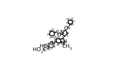 Cn1nc(-c2ccc(OCc3ccccc3)nc2OCc2ccccc2)c2ccc(N3CCC(O)(CC(=O)O)CC3)cc21